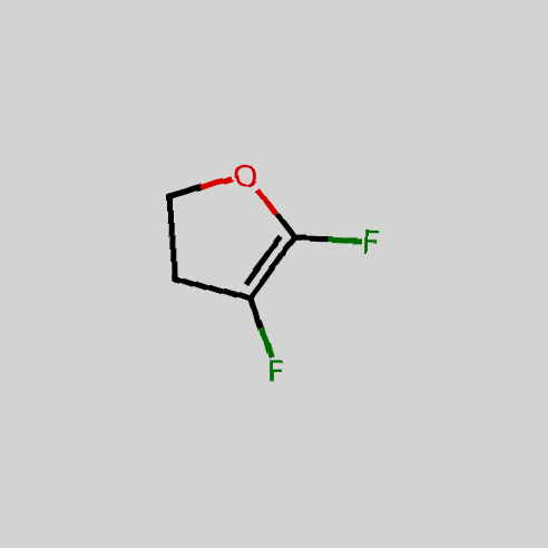 FC1=C(F)OCC1